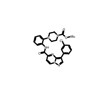 CC(C)(C)OC(=O)N1CCN(c2ccccc2NC(=O)c2ccn3ncc(-c4cccc(Cl)c4)c3n2)CC1